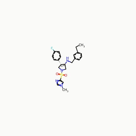 CCc1cccc(CN[C@H]2CN(S(=O)(=O)c3cn(C)cn3)C[C@@H]2c2ccc(F)cc2)c1